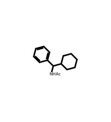 CC(=O)NC(c1ccccc1)C1CCCCC1